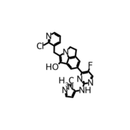 Cn1nccc1Nc1ncc(F)c(-c2cc3c4c(c2)c(O)c(Cc2cccnc2Cl)n4CC3)n1